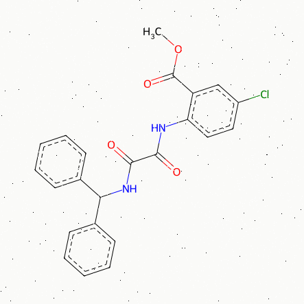 COC(=O)c1cc(Cl)ccc1NC(=O)C(=O)NC(c1ccccc1)c1ccccc1